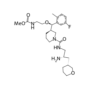 COC(=O)NCCO[C@@H](c1cc(F)ccc1C)[C@@H]1CCCN(C(=O)NC[C@@H](N)C[C@H]2CCCOC2)C1